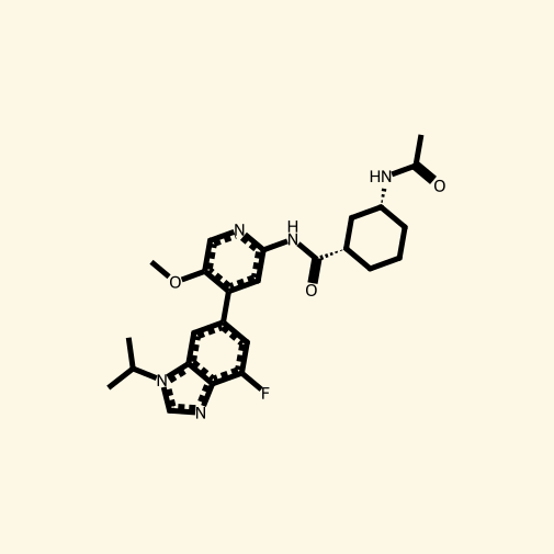 COc1cnc(NC(=O)[C@H]2CCC[C@@H](NC(C)=O)C2)cc1-c1cc(F)c2ncn(C(C)C)c2c1